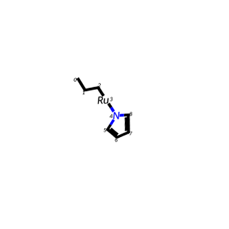 CC[CH2][Ru][n]1cccc1